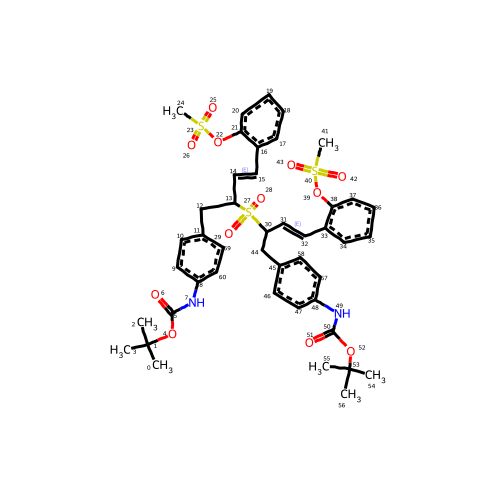 CC(C)(C)OC(=O)Nc1ccc(CC(/C=C/c2ccccc2OS(C)(=O)=O)S(=O)(=O)C(/C=C/c2ccccc2OS(C)(=O)=O)Cc2ccc(NC(=O)OC(C)(C)C)cc2)cc1